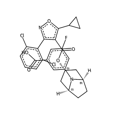 O=C(O)c1cc(F)cc(N2[C@@H]3CC[C@H]2C[C@H](OC(=O)c2c(-c4c(Cl)cccc4Cl)noc2C2CC2)C3)c1